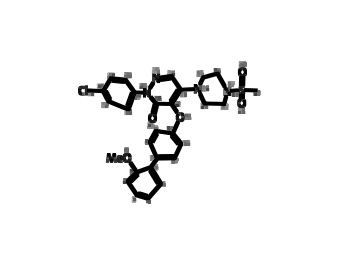 COc1ccccc1-c1ccc(Oc2c(N3CCN(S(C)(=O)=O)CC3)cnn(-c3ccc(Cl)cc3)c2=O)cc1